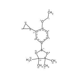 CCOc1ccc(B2OC(C)(C)C(C)(C)O2)cc1C1CC1